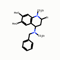 CCOC(=O)N(Cc1ccccc1)C1CC(CC)N(C(=O)OCC)c2cc(OC)c(OC)cc21